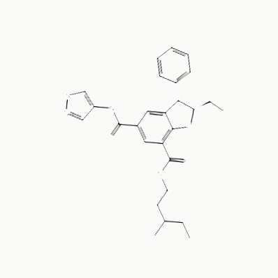 CCC(C)CCNC(=O)c1cc(C(=O)Nc2cn[nH]c2)cc2c1O[C@H](CF)[C@H]2c1ccccc1